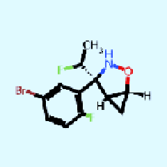 CC(F)[C@]1(c2cc(Br)ccc2F)NO[C@@H]2C[C@@H]21